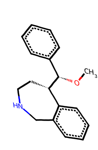 CO[C@@H](c1ccccc1)[C@H]1CCNCc2ccccc21